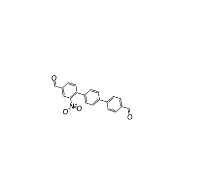 O=Cc1ccc(-c2ccc(-c3ccc(C=O)cc3[N+](=O)[O-])cc2)cc1